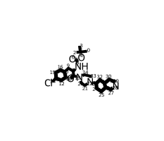 CC(C)(C)OC(=O)NC(Cc1ccc(Cl)cc1)C(=O)N1CCN(c2ccc3cnccc3c2)CC1